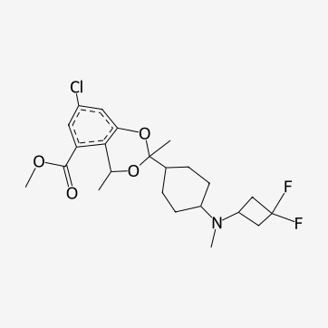 COC(=O)c1cc(Cl)cc2c1C(C)OC(C)(C1CCC(N(C)C3CC(F)(F)C3)CC1)O2